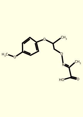 COc1ccc(OC(C)CO/N=C(\C)C(=O)O)cc1